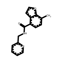 Cc1ccc(C(=O)NCc2ccccn2)c2ccoc12